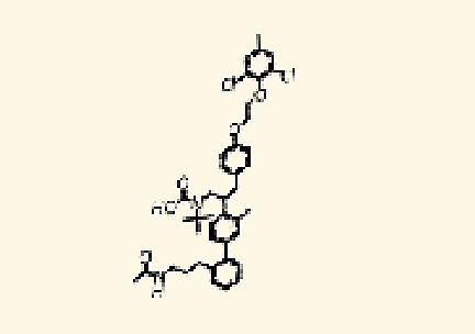 CC(=O)NCCCc1ccccc1-c1ccc(C(Cc2ccc(OCCOc3c(Cl)cc(C)cc3Cl)cc2)CN(C(=O)O)C(C)(C)C)c(C)c1